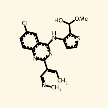 C/C=C(\C=N/C)c1nc(Nc2ccsc2C(O)OC)c2cc(Cl)ccc2n1